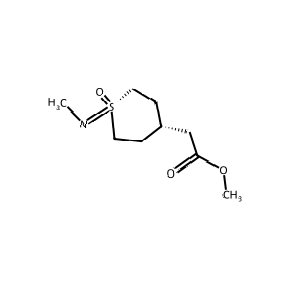 CN=[S@]1(=O)CC[C@H](CC(=O)OC)CC1